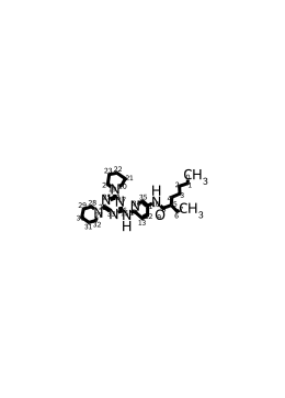 CCCCCC(CC)C(=O)Nc1ccc(Nc2nc(N3CCCCC3)nc(N3CCCCC3)n2)nc1